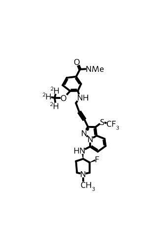 [2H]C([2H])([2H])Oc1ccc(C(=O)NC)cc1NCC#Cc1nn2c(N[C@@H]3CCN(C)C[C@@H]3F)cccc2c1SC(F)(F)F